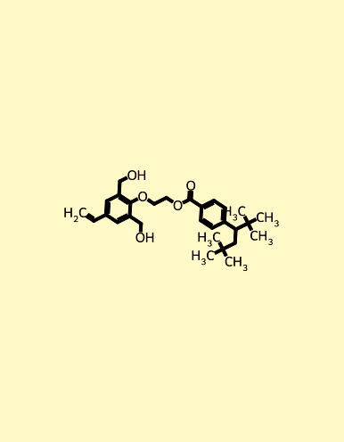 C=Cc1cc(CO)c(OCCOC(=O)c2ccc(C(CC(C)(C)C)C(C)(C)C)cc2)c(CO)c1